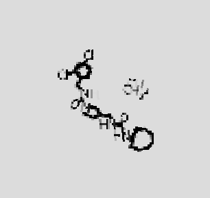 O=C(NCC1CCN(C(=O)NCc2ccc(Cl)cc2Cl)C1)N[C]1CCCCCCC1.[CH2].[CH2]